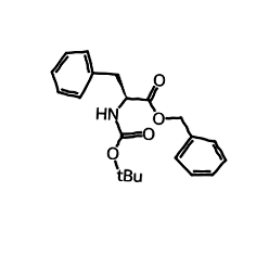 CC(C)(C)OC(=O)N[C@@H](Cc1ccccc1)C(=O)OCc1ccccc1